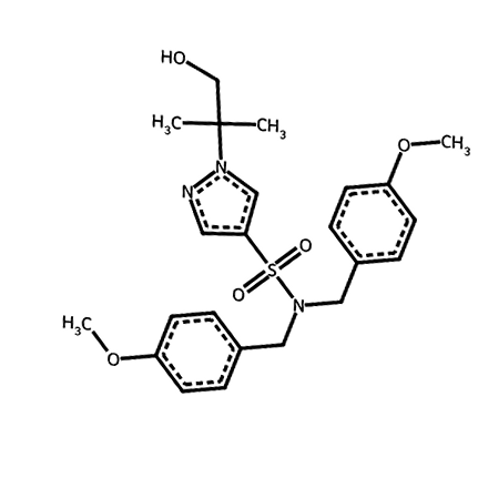 COc1ccc(CN(Cc2ccc(OC)cc2)S(=O)(=O)c2cnn(C(C)(C)CO)c2)cc1